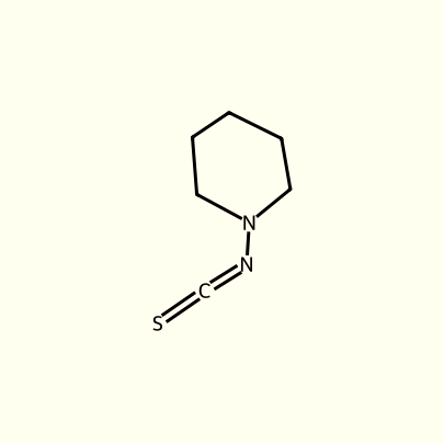 S=C=NN1CCCCC1